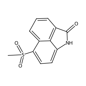 CS(=O)(=O)c1ccc2c3c(cccc13)C(=O)N2